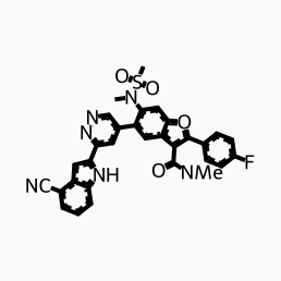 CNC(=O)c1c(-c2ccc(F)cc2)oc2cc(N(C)S(C)(=O)=O)c(-c3cnnc(-c4cc5c(C#N)cccc5[nH]4)c3)cc12